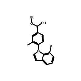 CCOC(O)c1ccc(-n2ccc3cccc(F)c32)c(F)c1